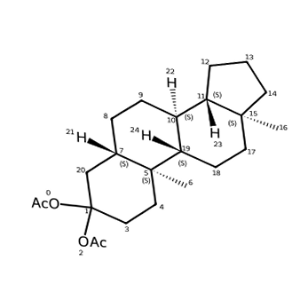 CC(=O)OC1(OC(C)=O)CC[C@@]2(C)[C@@H](CC[C@H]3[C@@H]4CCC[C@@]4(C)CC[C@@H]32)C1